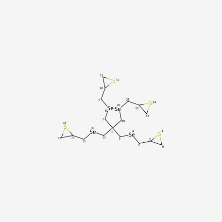 C1SC1C[Se]CC(C[Se]CC1CS1)(C[Se]CC1CS1)C[Se]CC1CS1